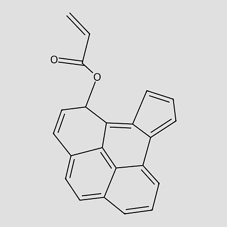 C=CC(=O)OC1C=Cc2ccc3cccc4c5c(c1c2c34)C=CC=5